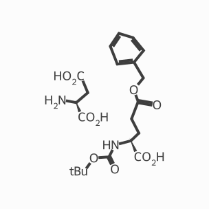 CC(C)(C)OC(=O)N[C@@H](CCC(=O)OCc1ccccc1)C(=O)O.N[C@@H](CC(=O)O)C(=O)O